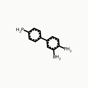 Bc1cc(-c2ccc(P)cc2)ccc1P